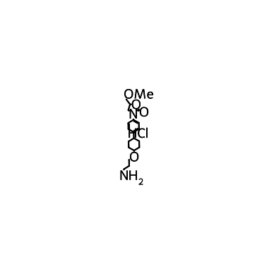 COCC1CN(c2ccc(C3CCC(OCCCN)CC3)cc2)C(=O)O1.Cl